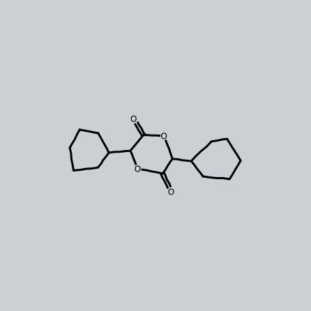 O=C1OC(C2CCCCC2)C(=O)OC1C1CCCCC1